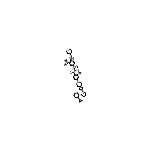 O=C(NS(=O)(=O)c1ccc(NCC2CCOCC2)c([N+](=O)[O-])c1)c1ccc(N2CCC3(CC2)CC(N2CCC[C@H]2c2ccccc2C2CC2)C3)cc1Br